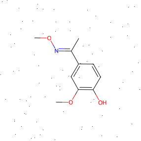 CON=C(C)c1ccc(O)c(OC)c1